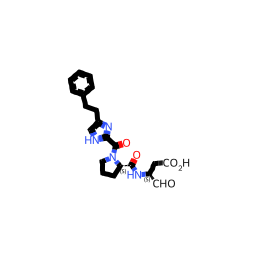 O=C[C@H](CC(=O)O)NC(=O)[C@@H]1CCCN1C(=O)c1nc(CCc2ccccc2)c[nH]1